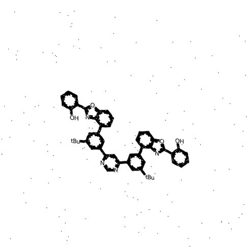 CC(C)(C)c1cc(-c2cc(-c3cc(-c4cccc5oc(-c6ccccc6O)nc45)cc(C(C)(C)C)c3)ncn2)cc(-c2cccc3oc(-c4ccccc4O)nc23)c1